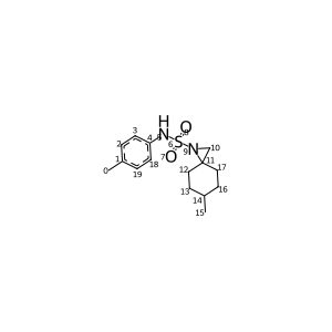 Cc1ccc(NS(=O)(=O)N2CC23CCC(C)CC3)cc1